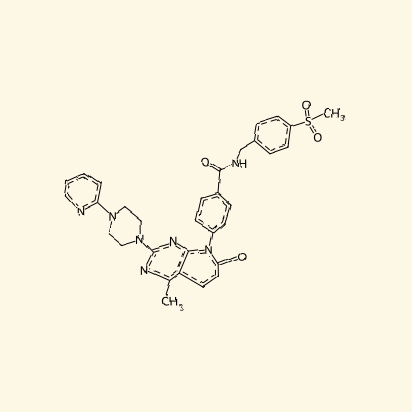 Cc1nc(N2CCN(c3ccccn3)CC2)nc2c1ccc(=O)n2-c1ccc(C(=O)NCc2ccc(S(C)(=O)=O)cc2)cc1